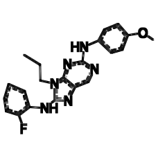 CCCn1c(Nc2ccccc2F)nc2cnc(Nc3ccc(OC)cc3)nc21